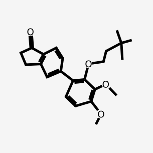 COc1ccc(-c2ccc3c(c2)CCC3=O)c(OCCC(C)(C)C)c1OC